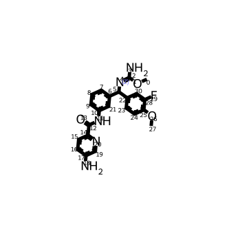 CO/C(N)=N\C(c1cccc(NC(=O)c2ccc(N)cn2)c1)c1ccc(OC)c(F)c1